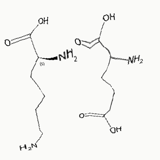 NC(CCC(=O)O)C(=O)O.NCCCC[C@H](N)C(=O)O